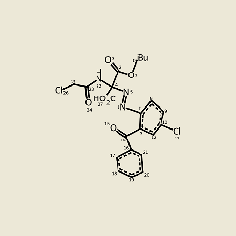 CCC(C)OC(=O)C(N=Nc1ccc(Cl)cc1C(=O)c1ccccc1)(NC(=O)CCl)C(=O)O